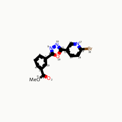 COC(=O)c1cccc(-c2nnc(-c3ccc(Br)nc3)o2)c1